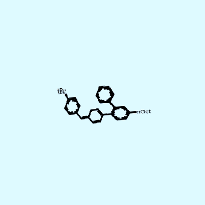 CCCCCCCCc1ccc(C2=CCC(=Cc3ccc(C(C)(C)C)cc3)C=C2)c(-c2ccccc2)c1